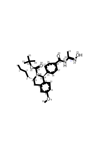 CCCC[C@H]1Cc2cc(OC)ccc2[C@H](c2ccc(C(=O)N/C(C)=N/O)cc2)N1C(=O)OC(C)(C)C